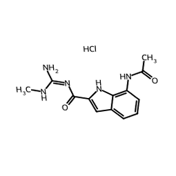 CNC(N)=NC(=O)c1cc2cccc(NC(C)=O)c2[nH]1.Cl